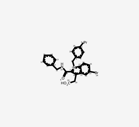 CC(C)c1ccc(Cn2c(C(=O)NCc3ccccc3)c(CC(=O)O)c3cc(Br)ccc32)cc1